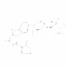 CC(C)C(=O)[C@@H]1[C@@H]2CC[C@H]1CN(c1ncc(-c3ccc4nc5c(n4c3)[C@@H](c3ccccc3OC(F)F)CC5=O)cn1)C2